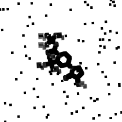 C=C1CCN(C2CCN(C(=O)OC(C)(C)C)C(C(C)(C)C)C2)C1=O